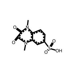 Cn1c(=O)c(=O)n(C)c2cc(S(=O)(=O)O)ccc21